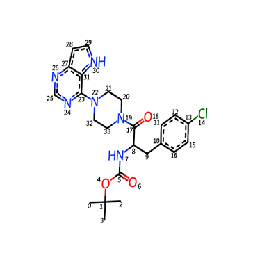 CC(C)(C)OC(=O)NC(Cc1ccc(Cl)cc1)C(=O)N1CCN(c2ncnc3cc[nH]c23)CC1